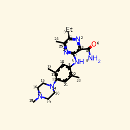 CCc1nc(C(N)=O)c(Nc2cc(C)c(N3CCN(C)CC3)cc2C)nc1C